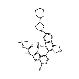 CC(C)(C)OC(=O)Nc1sc2c(F)cnc(-c3c4c(c5cnc(N6CC[C@H](N7CCCCC7)C6)nc5c3F)COC4)c2c1C#N